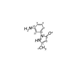 Cc1cc(=O)n(-c2cccc(N)c2)[nH]1